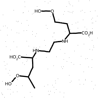 CC(CC(NCCNC(CCOO)C(=O)O)C(=O)O)OO